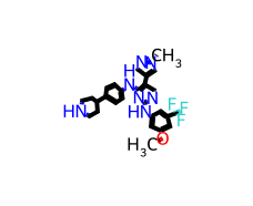 COc1cc(Nc2ncc(-c3cnn(C)c3)c(Nc3ccc(C4CCNCC4)cc3)n2)cc(C(F)(F)F)c1